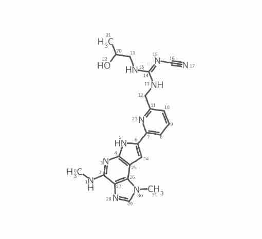 CNc1nc2[nH]c(-c3cccc(CN/C(=N\C#N)NCC(C)O)n3)cc2c2c1ncn2C